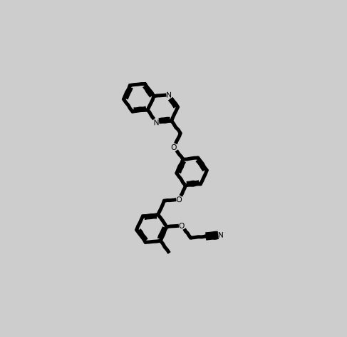 Cc1cccc(COc2cccc(OCc3cnc4ccccc4n3)c2)c1OCC#N